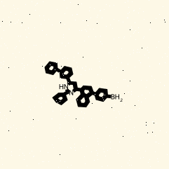 Bc1ccc(-c2ccc(C3=CC(c4cccc(-c5ccccc5)c4)NC(c4ccccc4)=N3)c3ccccc23)cc1